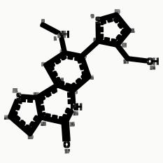 CNc1cc2c(cc1-c1sccc1CO)[nH]c(=O)c1ccsc12